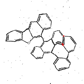 c1ccc(-c2ccccc2-c2c3ccccc3c(-c3c4ccccc4cc4c3oc3ccccc34)c3ccccc23)cc1